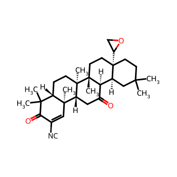 [C-]#[N+]C1=C[C@]2(C)[C@H]3CC(=O)[C@@H]4[C@@H]5CC(C)(C)CC[C@]5(C5CO5)CC[C@@]4(C)[C@]3(C)CC[C@H]2C(C)(C)C1=O